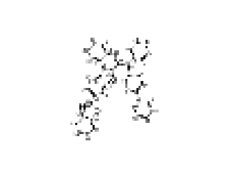 C1=CC(N(c2ccc(-c3ccccc3)cc2)c2cc3ccccc3c3c2oc2cc(-c4nc5ccccc5o4)ccc23)=CCC1